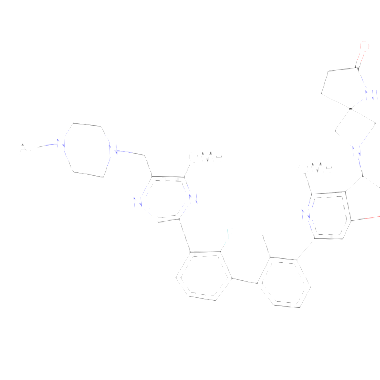 COc1nc(-c2cccc(-c3cccc(-c4cc5c(c(OC)n4)C(N4CC6(CCC(=O)N6)C4)CO5)c3C)c2F)cnc1CN1CCN(C(C)=O)CC1